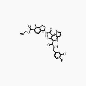 C=CCOC(=O)c1ccc2c(c1C)CC[C@@H]2NC(=O)c1c(F)c(C(=O)NCc2ccc(F)c(Cl)c2)nc2ccnn12